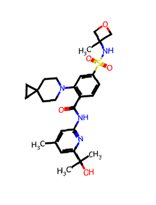 Cc1cc(NC(=O)c2ccc(S(=O)(=O)NC3(C)COC3)cc2N2CCC3(CC2)CC3)nc(C(C)(C)O)c1